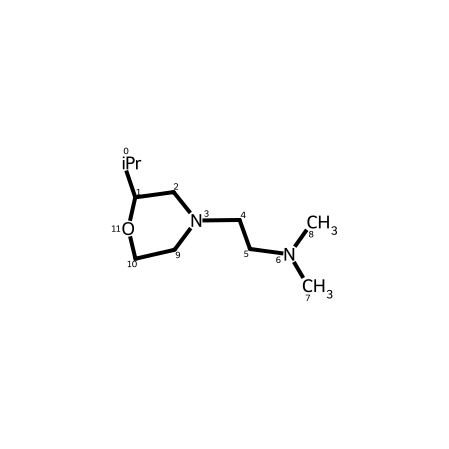 CC(C)C1CN(CCN(C)C)CCO1